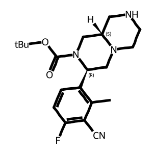 Cc1c([C@@H]2CN3CCNC[C@H]3CN2C(=O)OC(C)(C)C)ccc(F)c1C#N